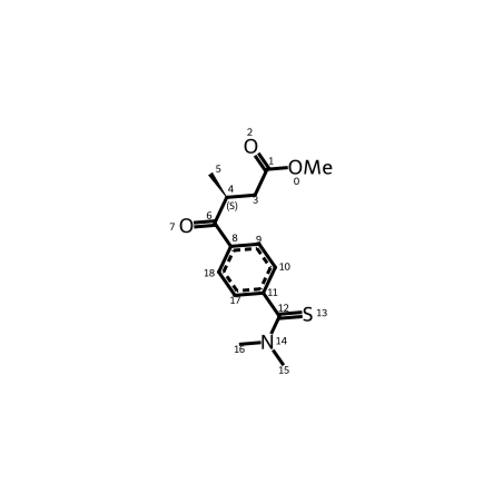 COC(=O)C[C@H](C)C(=O)c1ccc(C(=S)N(C)C)cc1